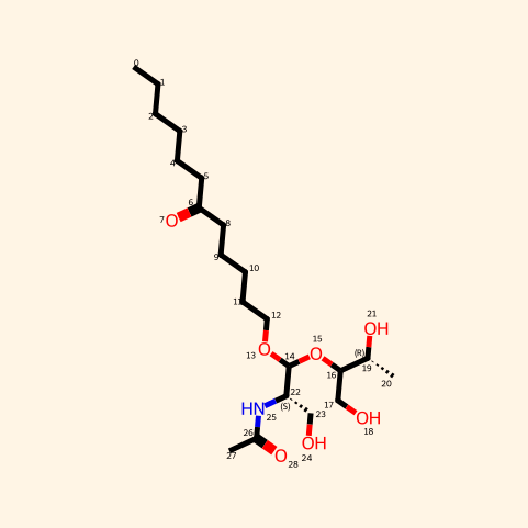 CCCCCCC(=O)CCCCCOC(OC(CO)[C@@H](C)O)[C@H](CO)NC(C)=O